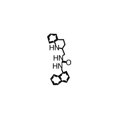 O=C(NCC1CCc2ccccc2N1)Nc1cccc2ccccc12